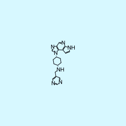 c1ncc(CN[C@H]2CC[C@@H](n3cnc4cnc5[nH]ccc5c43)CC2)cn1